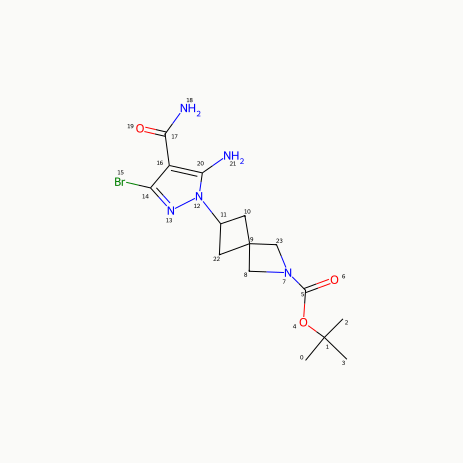 CC(C)(C)OC(=O)N1CC2(CC(n3nc(Br)c(C(N)=O)c3N)C2)C1